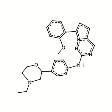 CCN1CCOC(c2ccc(Nc3ncc4ccc(-c5ccccc5OC)n4n3)cc2)C1